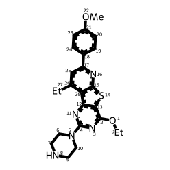 CCOc1nc(N2CCNCC2)nc2c1sc1nc(-c3ccc(OC)cc3)cc(CC)c12